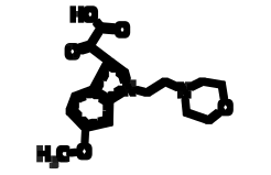 COc1ccc2c(C(=O)C(=O)O)cn(CCN3CCOCC3)c2c1